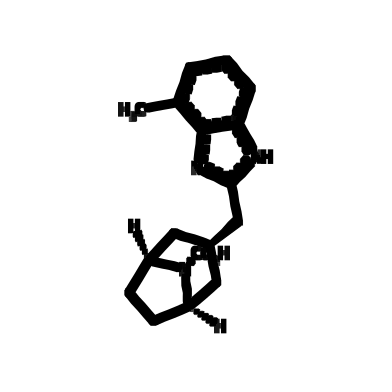 Cc1cccc2[nH]c(C[C@H]3C[C@H]4CC[C@@H](C3)N4C(=O)O)nc12